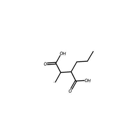 [CH2]C(C(=O)O)C(CCC)C(=O)O